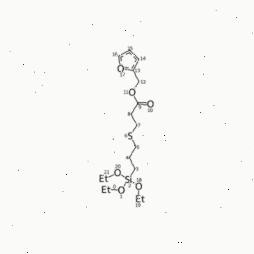 CCO[Si](CCCSCCC(=O)OCc1ccco1)(OCC)OCC